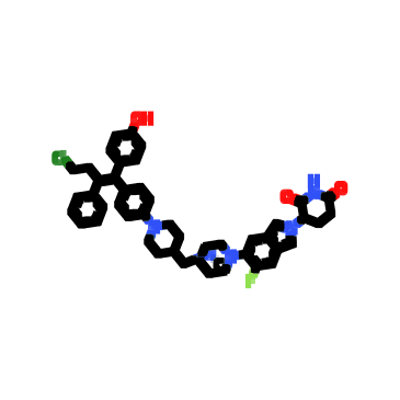 O=C1CCC(n2cc3cc(F)c(N4CC5CCC4CN5CC4CCN(c5ccc(C(=C(CCCl)c6ccccc6)c6ccc(O)cc6)cc5)CC4)cc3c2)C(=O)N1